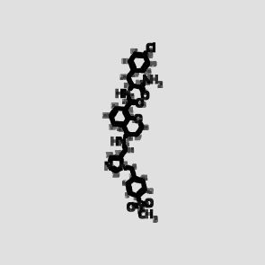 CS(=O)(=O)c1ccc(Cn2cncc2CNC2CCOc3c(C(=O)NC(Cc4ccc(Cl)cc4)C(N)=O)cccc32)cc1